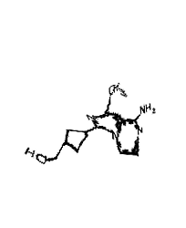 Cc1nc(C2CC(CO)C2)n2ccnc(N)c12